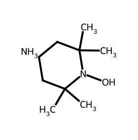 CC1(C)CCCC(C)(C)N1O.N